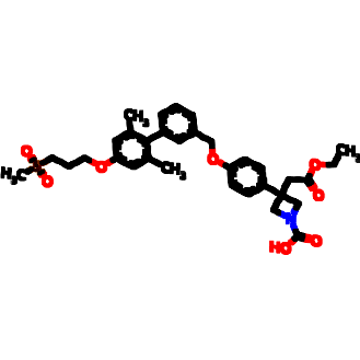 CCOC(=O)CC1(c2ccc(OCc3cccc(-c4c(C)cc(OCCCS(C)(=O)=O)cc4C)c3)cc2)CN(C(=O)O)C1